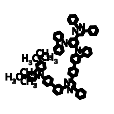 CC(C)(C)c1ccc2c(c1)c1cc(C(C)(C)C)ccc1n2-c1ccc(-c2cccc(-c3nc(-c4ccccc4)cc(-c4ccc(-c5ccc6c(c5)c5ccccc5n6-c5cc(-c6cc(-c7ccccc7)nc(-c7ccccc7)n6)cc(-n6c7ccccc7c7ccccc76)c5)cc4)n3)c2)cc1